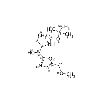 CCC(NC(=O)OC(C)(C)C)[C@H](O)c1nnc(COC)o1